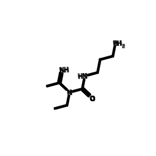 BCCCNC(=O)N(CC)C(C)=N